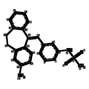 CS(=O)(=O)Nc1cccc(C=C2c3ccccc3CCc3cc(N)ccc32)c1